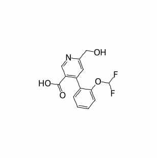 O=C(O)c1cnc(CO)cc1-c1ccccc1OC(F)F